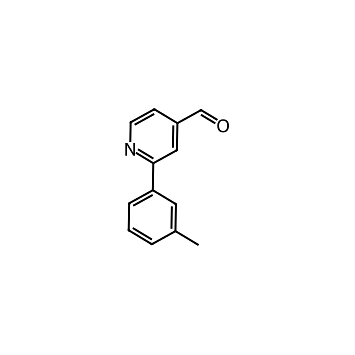 Cc1cccc(-c2cc(C=O)ccn2)c1